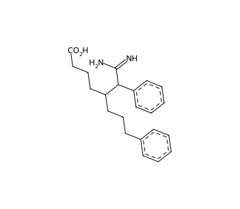 N=C(N)C([C](CCCC(=O)O)CCCc1ccccc1)c1ccccc1